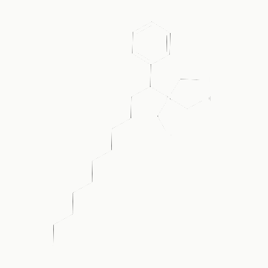 CCCCCCCCCCC(c1ccccc1)[N+](CO)(CO)CO.[Cl-]